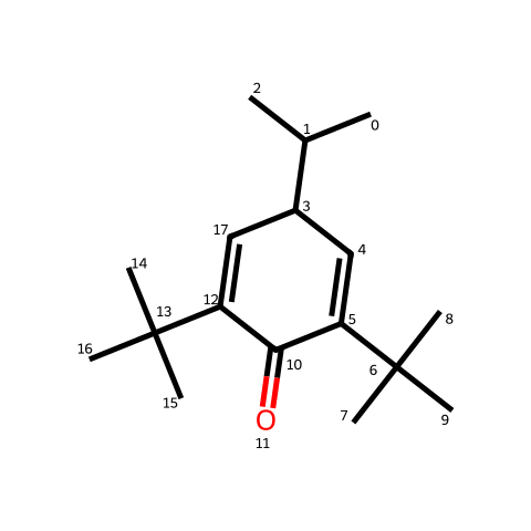 CC(C)C1C=C(C(C)(C)C)C(=O)C(C(C)(C)C)=C1